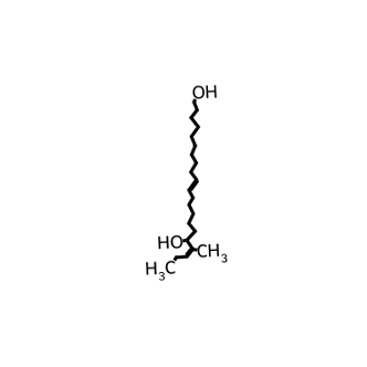 CCC=C(C)C(O)CCCCCC=CCCCCCCCCCO